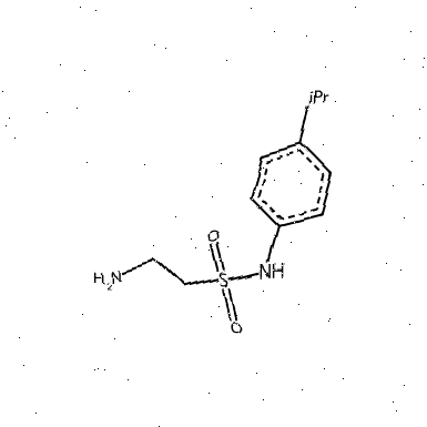 CC(C)c1ccc(NS(=O)(=O)CCN)cc1